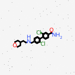 NC(=O)c1ccc(-c2ccc(CNCCC3CCOCC3)cc2Cl)c(Cl)c1